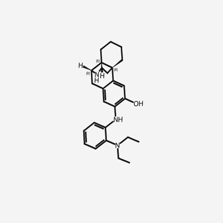 CCN(CC)c1ccccc1Nc1cc2c(cc1O)[C@@]13CCCC[C@H]1[C@@H](C2)NCC3